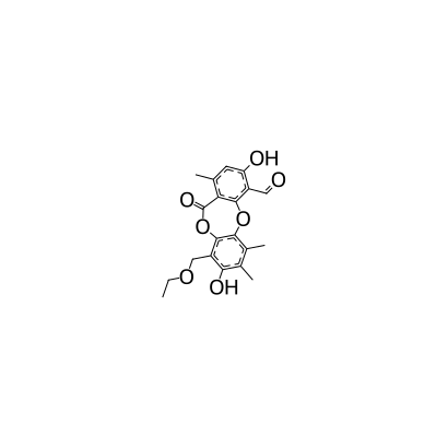 CCOCc1c(O)c(C)c(C)c2c1OC(=O)c1c(C)cc(O)c(C=O)c1O2